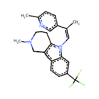 C/C(=C/n1c2c(c3ccc(C(F)(F)F)cc31)CN(C)CC2)c1ccc(C)nc1